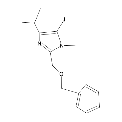 CC(C)c1nc(COCc2ccccc2)n(C)c1I